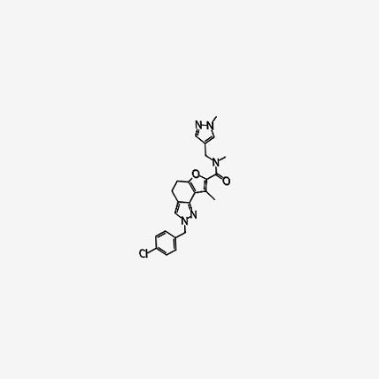 Cc1c(C(=O)N(C)Cc2cnn(C)c2)oc2c1-c1nn(Cc3ccc(Cl)cc3)cc1CC2